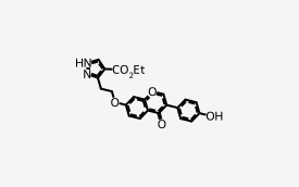 CCOC(=O)c1c[nH]nc1CCOc1ccc2c(=O)c(-c3ccc(O)cc3)coc2c1